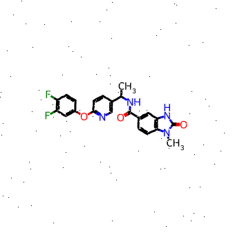 CC(NC(=O)c1ccc2c(c1)[nH]c(=O)n2C)c1ccc(Oc2ccc(F)c(F)c2)nc1